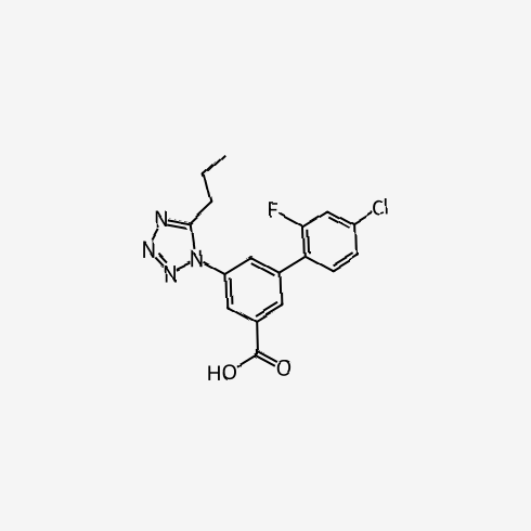 CCCc1nnnn1-c1cc(C(=O)O)cc(-c2ccc(Cl)cc2F)c1